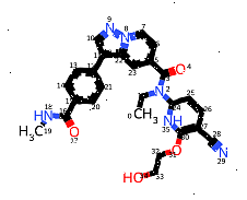 CCN(C(=O)c1ccn2ncc(-c3ccc(C(=O)NC)cc3)c2c1)C1C=CC(C#N)=C(OCCO)N1